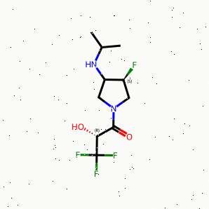 CC(C)NC1CN(C(=O)[C@@H](O)C(F)(F)F)C[C@@H]1F